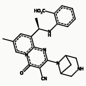 Cc1cc([C@@H](C)Nc2ccccc2C(=O)O)c2nc(N3C4CNCC3C4)c(C#N)c(=O)n2c1